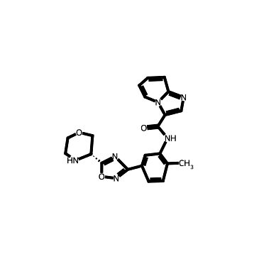 Cc1ccc(-c2noc([C@H]3COCCN3)n2)cc1NC(=O)c1cnc2ccccn12